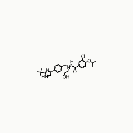 CC(C)Oc1ccc(C(=O)NN(CCO)Cc2ccc(-c3c[nH]c(C(C)(C)C)n3)cc2)cc1Cl